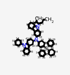 C=C/C=c1\c(=C)c2cccc3c4cc(N(C5=CC=C([Si](C6=CC=CCC6)(c6ccccc6)c6ccccc6)CC5)C5C=Cc6c(c7ccccc7n6-c6ccccc6)C5)ccc4n1c23